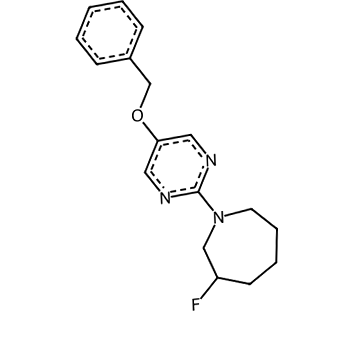 FC1CCCCN(c2ncc(OCc3ccccc3)cn2)C1